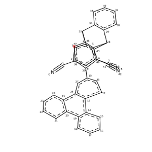 N#Cc1cc2c(c(C#N)c1-c1ccc3c4ccccc4c4ccccc4c3c1)C1c3ccccc3C2c2cccc(C#N)c21